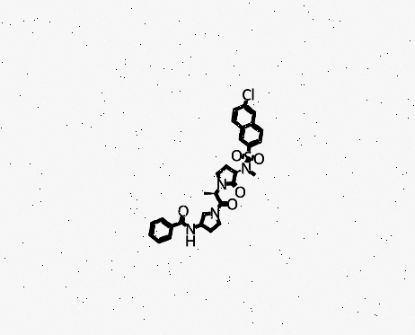 C[C@H](C(=O)N1CCC(NC(=O)c2ccccc2)C1)N1CC[C@H](N(C)S(=O)(=O)c2ccc3cc(Cl)ccc3c2)C1=O